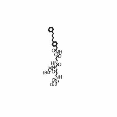 CC(C)(C)OC(=O)NCCCC[C@H](NC(=O)OC(C)(C)C)C(=O)NCCC(=O)ONC(=O)Cc1ccc(CCCCc2ccccc2)cc1